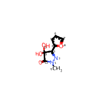 CN1N=C(c2ccco2)C(O)(O)C1=O